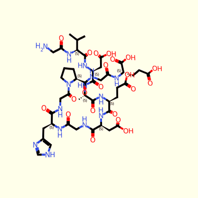 CC(C)[C@H](NC(=O)CN)C(=O)N[C@@H](CC(=O)O)C(=O)N[C@@H](C)C(=O)N[C@@H](CCC(=O)O)C(=O)N[C@@H](CC(=O)O)C(=O)NCC(=O)N[C@@H](Cc1c[nH]cn1)C(=O)NCC(=O)N1CCC[C@H]1C(=O)NCC(=O)N[C@@H](CCC(=O)O)C(=O)O